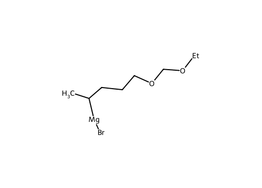 CCOCOCCC[CH](C)[Mg][Br]